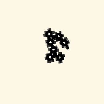 Ic1ccc(-c2cccc(-n3c4ccccc4c4ccc(-c5ccc6c(c5)c5ccccc5n6-c5ccccc5)cc43)n2)cc1